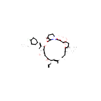 C=CC[C@@H]1/C=C(\C)C[C@H](C)C[C@H](OC)[C@H]2O[C@@](O)(C(=O)C(=O)N3CCCC[C@H]3C(=O)O[C@H](/C(C)=C/[C@@H]3CC[C@H](F)[C@H](OC)C3)[C@H](C)[C@@H](O)CC1=O)[C@H](C)C[C@@H]2OC